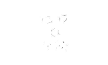 O=S(=O)([O-])C(F)(F)C(F)(F)OC(F)(F)C(F)(F)I.Oc1ccc([S+](c2ccccc2)c2ccc(O)cc2)cc1